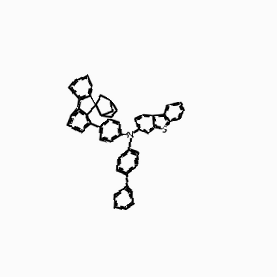 c1ccc(-c2ccc(N(c3ccc(-c4cccc5c4C4(CC6CCC4C6)c4ccccc4-5)cc3)c3ccc4c(c3)sc3ccccc34)cc2)cc1